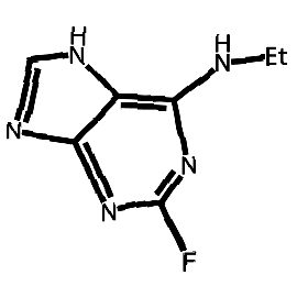 CCNc1nc(F)nc2nc[nH]c12